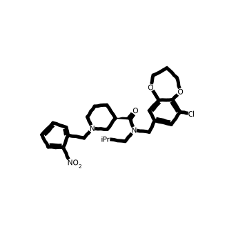 CC(C)CN(Cc1cc(Cl)c2c(c1)OCCCO2)C(=O)[C@@H]1CCCN(Cc2ccccc2[N+](=O)[O-])C1